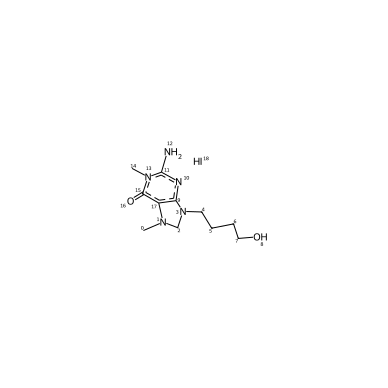 CN1CN(CCCCO)c2nc(N)n(C)c(=O)c21.I